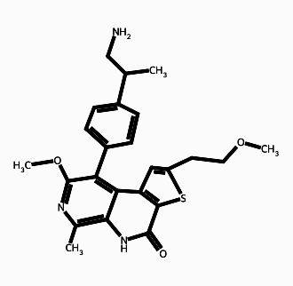 COCCc1cc2c(s1)c(=O)[nH]c1c(C)nc(OC)c(-c3ccc(C(C)CN)cc3)c12